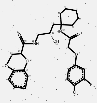 O=C(COc1ccc(Cl)c(F)c1)NC1(C[C@H](O)CNC(=O)C2COc3ccccc3O2)CCCCC1